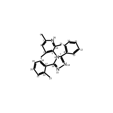 Cc1cc(C)c(-n2c(-c3ccccc3)nnc2-c2ccccc2C)c(C)n1